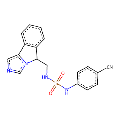 N#Cc1ccc(NS(=O)(=O)NCC2c3ccccc3-c3cncn32)cc1